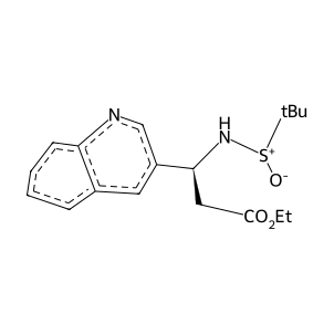 CCOC(=O)C[C@H](N[S+]([O-])C(C)(C)C)c1cnc2ccccc2c1